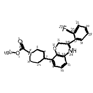 CC(C)(C)OC(=O)N1CCC(c2cccc3c2OCC(c2ccccc2F)N3)CC1